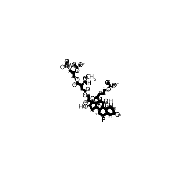 CONC(CC(=O)OCC(=O)[C@@]1(OC(=O)CCCO[N+](=O)[O-])[C@H](O)CC2C3C[C@H](F)C4=CC(=O)C=C[C@]4(C)[C@@]3(F)[C@@H](O)C[C@@]21C)C(=O)OCC(CO[N+](=O)[O-])O[N+](=O)[O-]